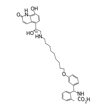 Cc1ccccc1C(NC(=O)O)c1cccc(OCCCCCCCCCNC[C@@H](O)c2ccc(O)c3[nH]c(=O)ccc23)c1